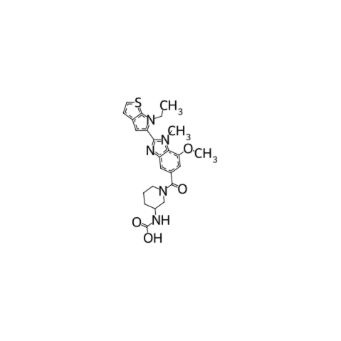 CCn1c(-c2nc3cc(C(=O)N4CCCC(NC(=O)O)C4)cc(OC)c3n2C)cc2ccsc21